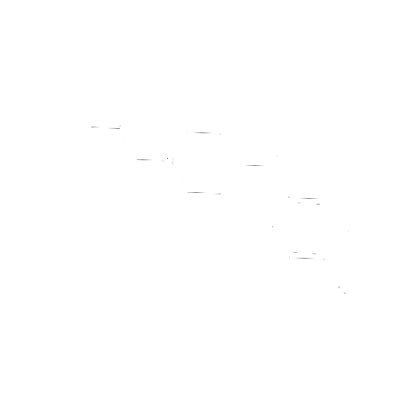 C[C](C)CN1CCC(Oc2ccc(N)cc2)CC1